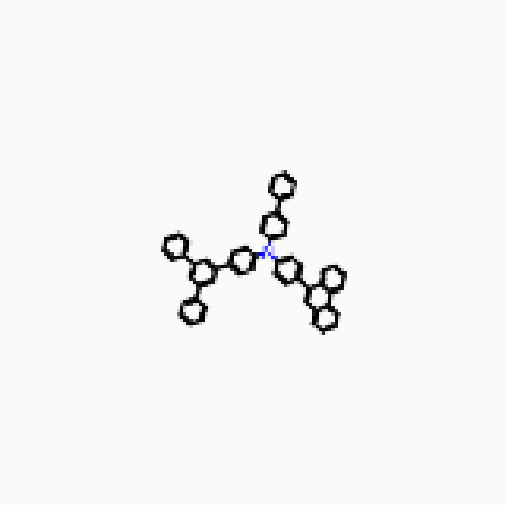 c1ccc(-c2ccc(N(c3ccc(-c4cc(-c5ccccc5)cc(-c5ccccc5)c4)cc3)c3ccc(-c4cc5ccccc5c5ccccc45)cc3)cc2)cc1